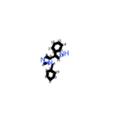 c1ccc(Cn2cncc2-c2c[nH]c3ccccc23)cc1